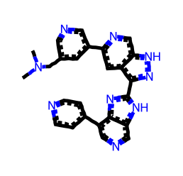 CN(C)Cc1cncc(-c2cc3c(-c4nc5c(-c6ccncc6)cncc5[nH]4)n[nH]c3cn2)c1